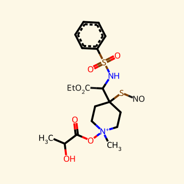 CCOC(=O)C(NS(=O)(=O)c1ccccc1)C1(SN=O)CC[N+](C)(OC(=O)C(C)O)CC1